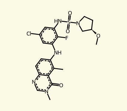 CO[C@@H]1CCN(S(=O)(=O)Nc2cc(Cl)cc(Nc3ccc4ncn(C)c(=O)c4c3C)c2F)C1